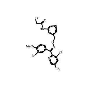 COc1ccc(/C(=N\OCc2cccc(NC(=O)CC(C)C)n2)c2ncc(C(F)(F)F)cc2Cl)cc1Br